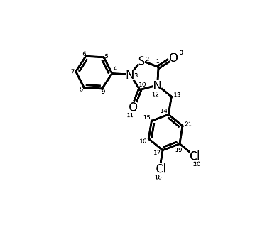 O=c1sn(-c2ccccc2)c(=O)n1Cc1ccc(Cl)c(Cl)c1